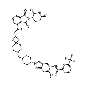 COc1cc2nn([C@H]3CC[C@H](CN4CCC5(CC4)CC(CNc4cccc6c4C(=O)N(C4CCC(=O)NC4=O)C6=O)C5)CC3)cc2cc1NC(=O)c1cccc(C(F)(F)F)n1